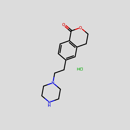 Cl.O=C1OCCc2cc(CCN3CCNCC3)ccc21